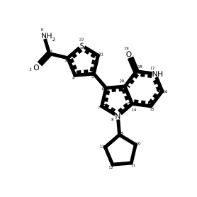 NC(=O)c1cc(-c2cn(C3CCCC3)c3cc[nH]c(=O)c23)cs1